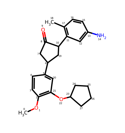 COc1ccc(C2CC(=O)C(c3cc(N)ccc3C)C2)cc1OC1CCCC1